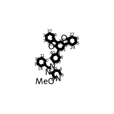 COc1nccc2c1nc(-c1ccccc1)n2-c1ccc(-c2cc3c4ccccc4oc3c3c2oc2ccccc23)cc1